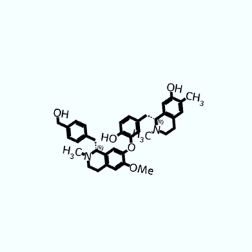 COc1cc2c(cc1Oc1cc(C[C@@H]3c4cc(O)c(C)cc4CCN3C)ccc1O)[C@@H](Cc1ccc(CO)cc1)N(C)CC2